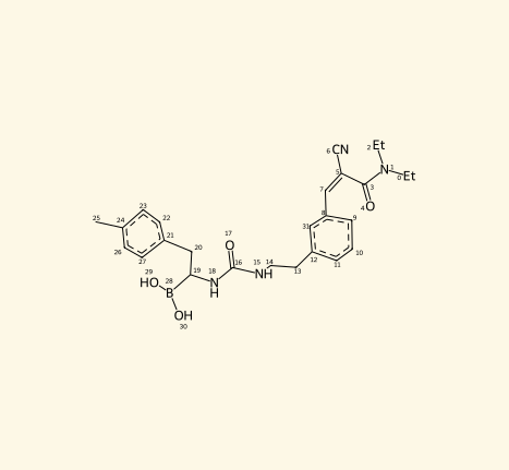 CCN(CC)C(=O)C(C#N)=Cc1cccc(CCNC(=O)NC(Cc2ccc(C)cc2)B(O)O)c1